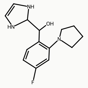 OC(c1ccc(F)cc1N1CCCC1)C1NC=CN1